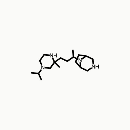 CC(C)N1CCNC(C)(CCC(C)N2C3CCC2CNC3)C1